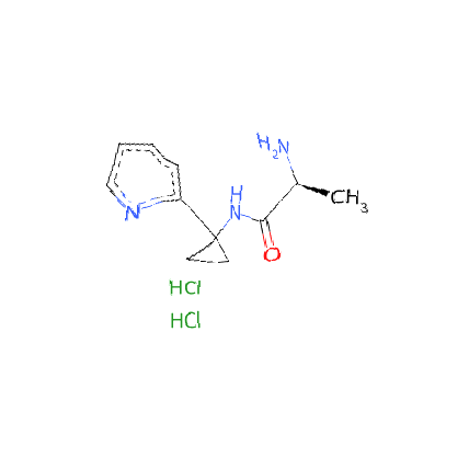 C[C@H](N)C(=O)NC1(c2ccccn2)CC1.Cl.Cl